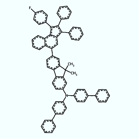 CC1(C)c2cc(-c3cc4c(-c5ccccc5)c(-c5ccccc5)n(-c5ccc(F)cc5)c4c4ccccc34)ccc2-c2ccc(N(c3ccc(-c4ccccc4)cc3)c3ccc(-c4ccccc4)cc3)cc21